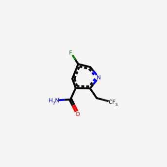 NC(=O)c1cc(F)cnc1CC(F)(F)F